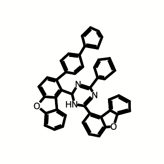 c1ccc(C2=NC(c3c(-c4ccc(-c5ccccc5)cc4)ccc4oc5ccccc5c34)NC(c3cccc4oc5ccccc5c34)=N2)cc1